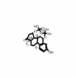 CCC(O)(O)OC(O)(O)CC.C[C@]12CC[C@@H]3c4ccc(O)cc4CC[C@H]3[C@@H]1CCC2=O